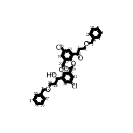 O=C(CCOCc1ccccc1)c1cc(Cl)cc2c1OC1OC2Oc2c(C(O)CCOCc3ccccc3)cc(Cl)cc21